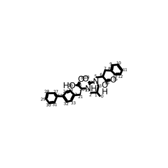 CC(C)CN(CC(Cc1ccccc1)C(=O)O)C(=O)N[C@@H](Cc1ccc(-c2ccccc2)cc1)C(=O)O